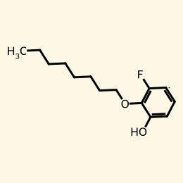 CCCCCCCCOc1c(F)[c]ccc1O